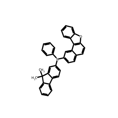 CC1(C)c2ccccc2-c2ccc(N(c3ccccc3)c3ccc4ccc5oc6ccccc6c5c4c3)cc21